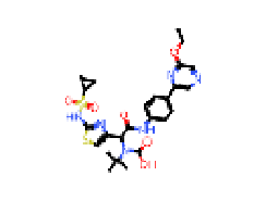 CCOc1cncc(-c2ccc(NC(=O)C(c3csc(NS(=O)(=O)C4CC4)n3)N(C(=O)O)C(C)(C)C)cc2)n1